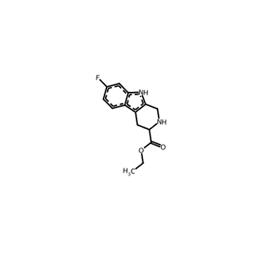 CCOC(=O)C1Cc2c([nH]c3cc(F)ccc23)CN1